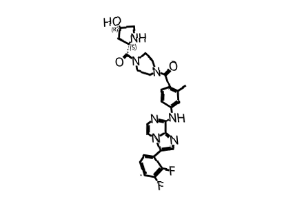 Cc1cc(Nc2nccn3c(-c4cc[c]c(F)c4F)cnc23)ccc1C(=O)N1CCN(C(=O)[C@@H]2C[C@@H](O)CN2)CC1